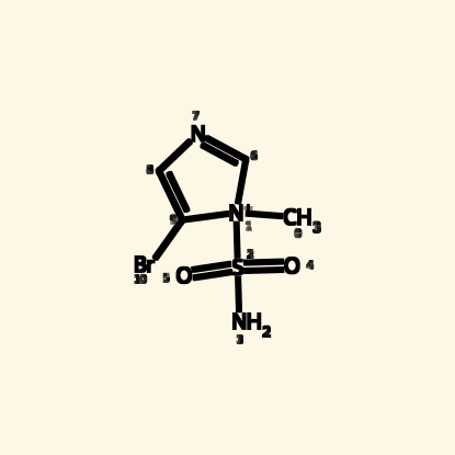 C[N+]1(S(N)(=O)=O)C=NC=C1Br